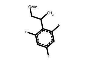 COCC(C)c1c(F)cc(F)cc1F